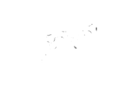 C[Si](C)(C)CCOCn1ccc2c(-c3cnn(C4(CC#N)CN(S(=O)(=O)c5ccccc5)C4)c3)ccnc21